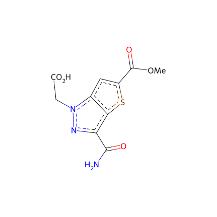 COC(=O)c1cc2c(s1)c(C(N)=O)nn2CC(=O)O